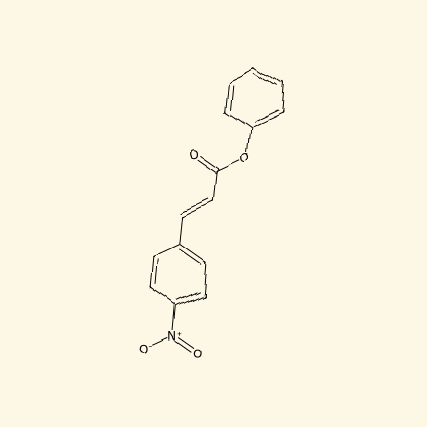 O=C(C=Cc1ccc([N+](=O)[O-])cc1)Oc1ccccc1